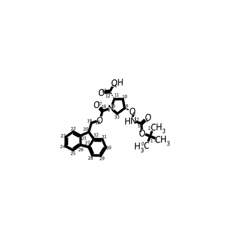 CC(C)(C)OC(=O)NO[C@H]1C[C@@H](C(=O)O)N(C(=O)OCC2c3ccccc3-c3ccccc32)C1